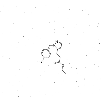 CCOC(=O)CCc1ccnn1Cc1ccc(OC)cc1